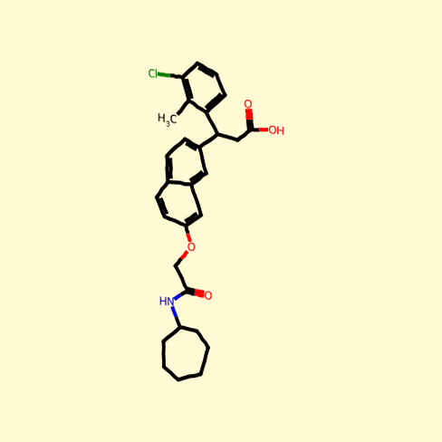 Cc1c(Cl)cccc1C(CC(=O)O)c1ccc2ccc(OCC(=O)NC3CCCCCC3)cc2c1